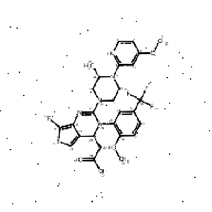 COc1ccnc(N2CCN(C3=Nc4c(csc4F)[C@H](CC(=O)O)N3c3cc(C(F)(F)F)ccc3OC)C[C@H]2C)c1